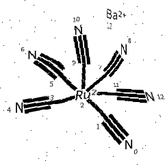 N#[C][Ru-2]([C]#N)([C]#N)([C]#N)([C]#N)[C]#N.[Ba+2]